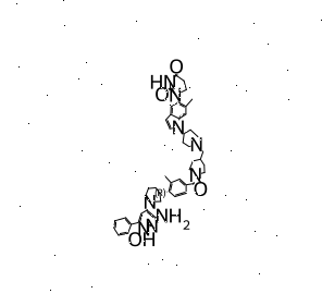 Cc1cc(C(=O)N2CCC(CN3CCC(n4ccc5cc(N6CCC(=O)NC6=O)c(C)cc54)CC3)CC2)ccc1[C@H]1CCCN(c2cc(-c3ccccc3O)nnc2N)C1